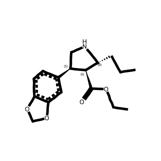 CCC[C@H]1NC[C@H](c2ccc3c(c2)OCO3)[C@@H]1C(=O)OCC